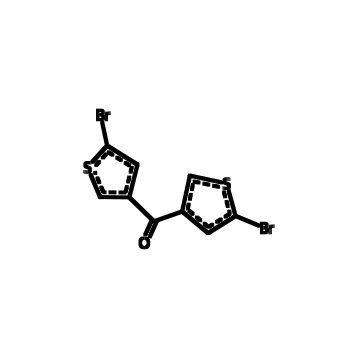 O=C(c1csc(Br)c1)c1csc(Br)c1